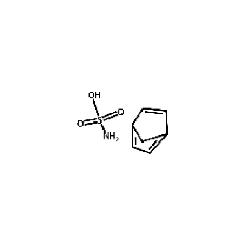 C1=CC2=CC=C1C2.NS(=O)(=O)O